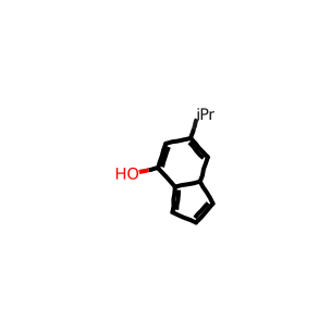 CC(C)C1=CC2C=CC=C2C(O)=C1